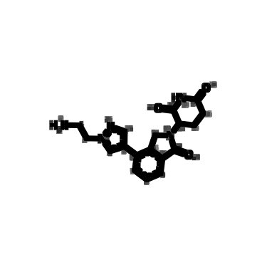 NCCn1cc(-c2cccc3c2CN(C2CCC(=O)NC2=O)C3=O)cn1